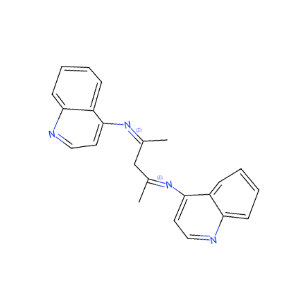 C/C(C/C(C)=N/c1ccnc2ccccc12)=N/c1ccnc2ccccc12